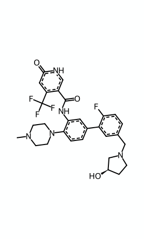 CN1CCN(c2ccc(-c3cc(CN4CC[C@@H](O)C4)ccc3F)cc2NC(=O)c2c[nH]c(=O)cc2C(F)(F)F)CC1